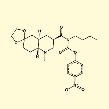 CCCCN(C(=O)Oc1ccc([N+](=O)[O-])cc1)C(=O)[C@@H]1C[C@@H]2CC3(CC[C@H]2N(C)C1)OCCO3